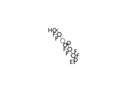 CCOc1ccc(-c2ccc(C(=O)OC3CCC(c4ccc(C(C)O)c(F)c4F)CC3)c(F)c2F)c(F)c1F